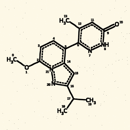 COc1ccc(-c2n[nH]c(=O)cc2C)c2cc(C(C)C)nn12